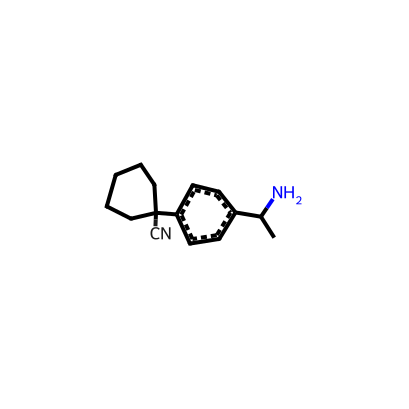 CC(N)c1ccc(C2(C#N)CCCCC2)cc1